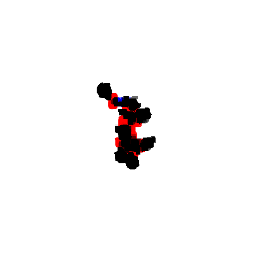 CC[C@H]1O[C@@H](O[C@@H]2[C@@H](O)[C@H](C)C[C@H](NC(=O)OCc3ccccc3)[C@H]2O[C@H]2O[C@@H]3COC(c4ccccc4)O[C@H]3[C@H](O[Si](C)(C)C(C)(C)C)[C@H]2C)[C@H](O[Si](C)(C)C(C)(C)C)[C@@H]1O[C@H]1O[C@@H](CNC(=O)OCc2ccccc2)[C@@H](C)[C@H](C)[C@H]1C